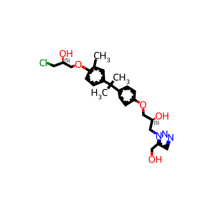 Cc1cc(C(C)(C)c2ccc(OC[C@@H](O)Cn3nncc3CO)cc2)ccc1OC[C@H](O)CCl